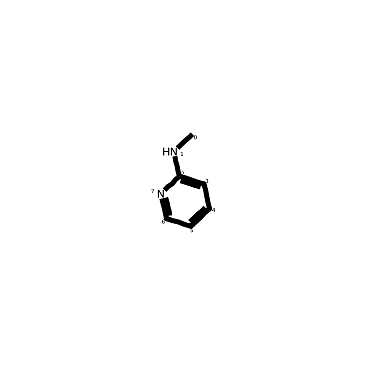 CNc1cc[c]cn1